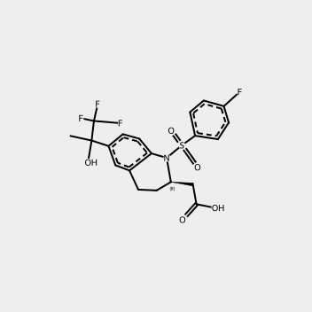 CC(O)(c1ccc2c(c1)CC[C@H](CC(=O)O)N2S(=O)(=O)c1ccc(F)cc1)C(F)(F)F